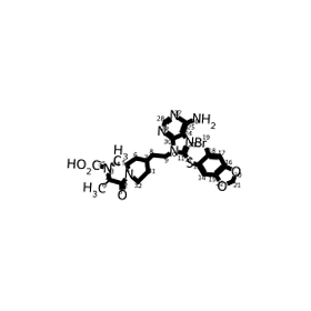 C[C@@H](C(=O)N1CCC(CCn2c(Sc3cc4c(cc3Br)OCO4)nc3c(N)ncnc32)CC1)N(C)C(=O)O